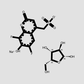 O=c1cc(CS(=O)(=O)[O-])c2cc(F)c(O)c(F)c2o1.OC[C@H]1O[C@@H](O)[C@H](O)[C@H]1O.[Na+]